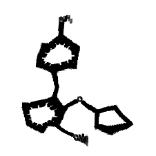 COc1cccc(-c2ccc(N)cc2)c1OC1CCCC1